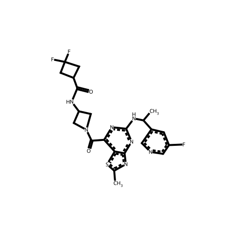 Cc1nc2nc(NC(C)c3cncc(F)c3)nc(C(=O)N3CC(NC(=O)C4CC(F)(F)C4)C3)c2s1